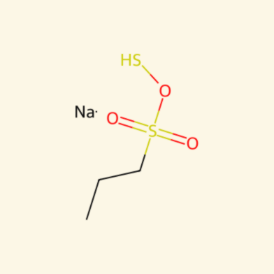 CCCS(=O)(=O)OS.[Na]